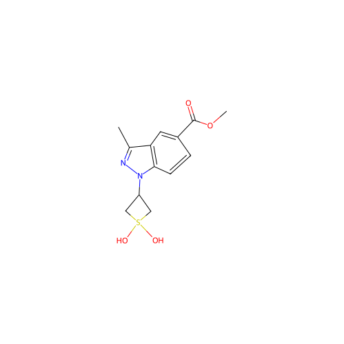 COC(=O)c1ccc2c(c1)c(C)nn2C1CS(O)(O)C1